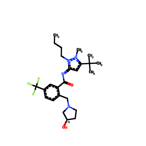 CCCCn1c(=NC(=O)c2cc(C(F)(F)F)ccc2CN2CC[C@@H](O)C2)cc(C(C)(C)C)n1C